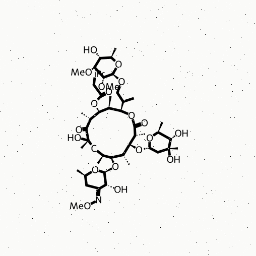 CO/N=C1\C[C@@H](C)O[C@@H](O[C@@H]2[C@@H](C)[C@H](O[C@H]3C[C@@](C)(O)[C@@H](O)[C@H](C)O3)[C@@H](C)C(=O)O[C@H](C(C)CO[C@@H]3O[C@H](C)[C@@H](O)[C@@H](OC)[C@H]3OC)[C@H](C)[C@@H](OC(=O)CC(C)C)[C@@H](C)C(=O)[C@@](C)(O)C[C@@H]2C)[C@@H]1O